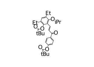 CCc1cc(CC)c(OC(C)C)c(/C=C/C(=O)c2ccc(OC(=O)C(C)(C)C)cc2)c1OC(=O)C(C)(C)C